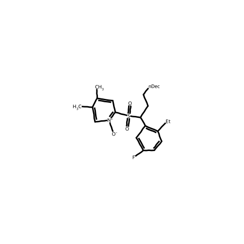 CCCCCCCCCCCCC(c1cc(F)ccc1CC)S(=O)(=O)c1cc(C)c(C)c[n+]1[O-]